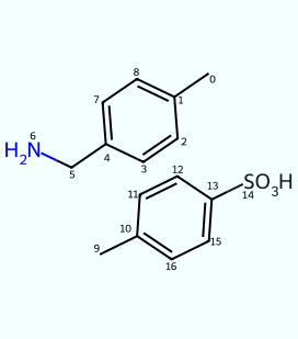 Cc1ccc(CN)cc1.Cc1ccc(S(=O)(=O)O)cc1